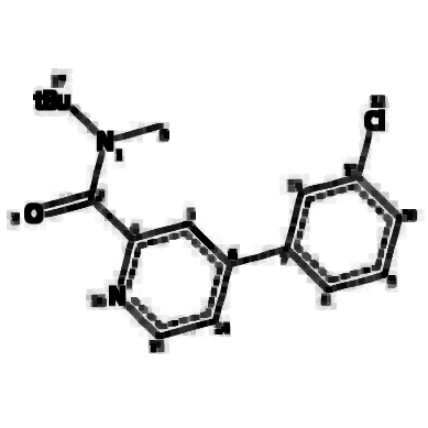 CN(C(=O)c1cc(-c2cccc(Cl)c2)ccn1)C(C)(C)C